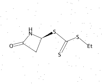 CCSC(=S)S[C@H]1CC(=O)N1